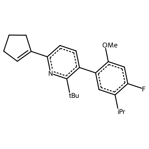 COc1cc(F)c(C(C)C)cc1-c1ccc(C2=CCCC2)nc1C(C)(C)C